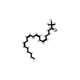 CCCCC/C=C\C/C=C\C/C=C\C/C=C\CCCC(=O)C(C)(C)C